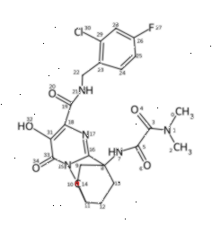 CN(C)C(=O)C(=O)NC12CCC(CC1)Cn1c2nc(C(=O)NCc2ccc(F)cc2Cl)c(O)c1=O